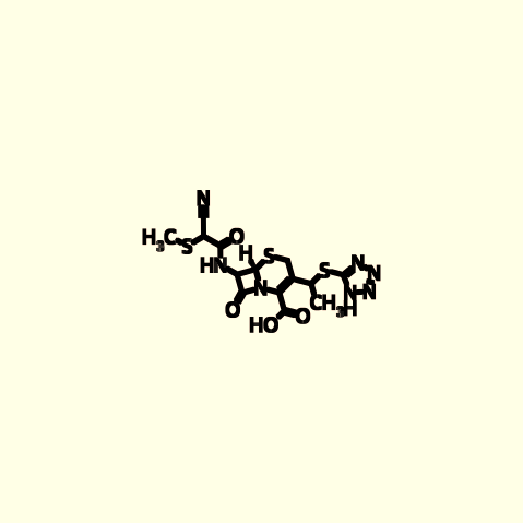 CSC(C#N)C(=O)NC1C(=O)N2C(C(=O)O)=C(C(C)Sc3nnn[nH]3)CS[C@@H]12